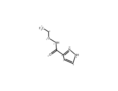 O=C(NOCC(F)(F)F)c1cc[nH]n1